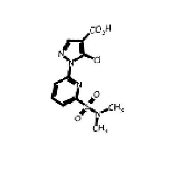 CN(C)S(=O)(=O)c1cccc(-n2ncc(C(=O)O)c2Cl)n1